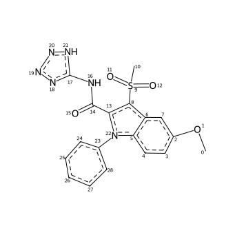 COc1ccc2c(c1)c(S(C)(=O)=O)c(C(=O)Nc1nnn[nH]1)n2-c1ccccc1